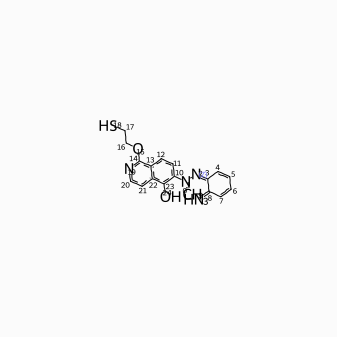 CN(/N=C1/C=CC=CC1=N)c1ccc2c(OCCS)nccc2c1O